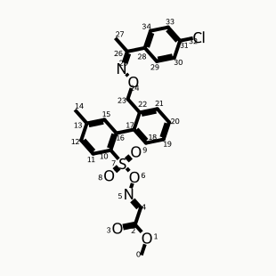 COC(=O)C=NOS(=O)(=O)c1ccc(C)cc1-c1ccccc1CON=C(C)c1ccc(Cl)cc1